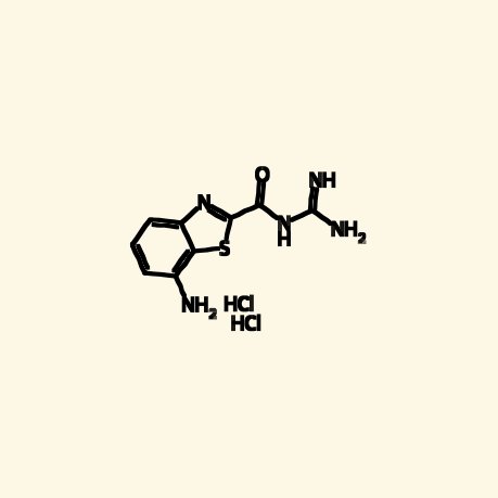 Cl.Cl.N=C(N)NC(=O)c1nc2cccc(N)c2s1